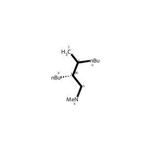 CCCCC(C)[C@@H](CCCC)CNC